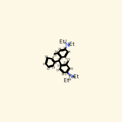 CCN(CC)c1ccc(C(c2ccccc2)c2ccc(N(CC)CC)cc2C)c(C)c1